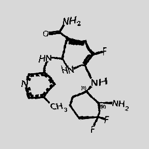 Cc1cncc(NC2NC(N[C@@H]3CCCC(F)(F)[C@@H]3N)=C(F)C=C2C(N)=O)c1